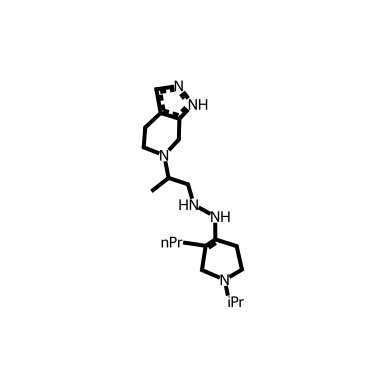 CCCC1=C(NNCC(C)N2CCc3cn[nH]c3C2)CCN(C(C)C)C1